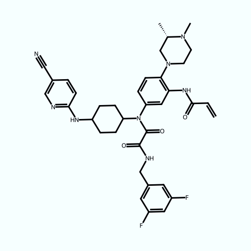 C=CC(=O)Nc1cc(N(C(=O)C(=O)NCc2cc(F)cc(F)c2)C2CCC(Nc3ccc(C#N)cn3)CC2)ccc1N1CCN(C)[C@@H](C)C1